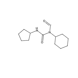 O=[C]N(C(=O)NC1CCCC1)C1CCCCC1